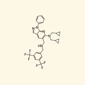 FC(F)(F)c1cc(CNCc2cc3cnn(-c4ccccc4)c3nc2N(CC2CC2)CC2CC2)cc(C(F)(F)F)c1